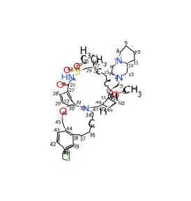 CO[C@@]1(CN2CCN3CCCCC3C2)CCC[C@H](C)[C@@H](C)S(=O)(=O)NC(=O)c2ccc3c(c2)N(CCCCc2cc(Cl)ccc2CO3)C[C@@H]2CC[C@H]21